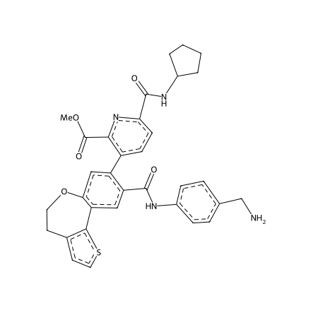 COC(=O)c1nc(C(=O)NC2CCCC2)ccc1-c1cc2c(cc1C(=O)Nc1ccc(CN)cc1)-c1sccc1CCO2